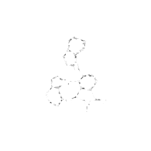 CN1C(=O)c2ccc(-n3ccc4ccccc43)c(-n3ccc4ccccc43)c2C1=O